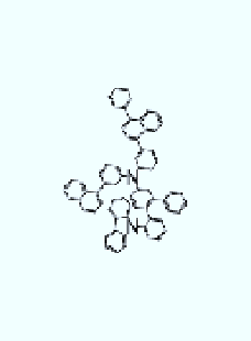 c1ccc(-c2cc(N(c3cccc(-c4cccc5ccccc45)c3)c3cccc(-c4ccc(-c5ccccc5)c5ccccc45)c3)ccc2-c2ccccc2-n2c3ccccc3c3ccccc32)cc1